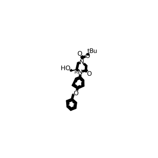 CC(C)(C)OC(=O)N1CC(=O)N(c2ccc(OCc3ccccc3)cc2)[C@@H](CO)C1